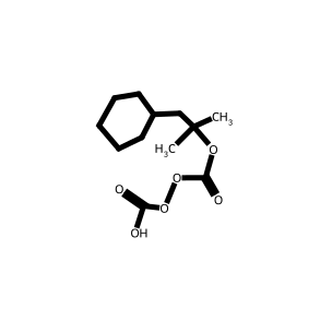 CC(C)(CC1CCCCC1)OC(=O)OOC(=O)O